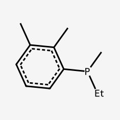 CCP(C)c1cccc(C)c1C